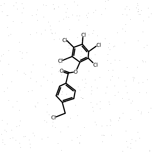 O=C(Oc1c(Cl)c(Cl)c(Cl)c(Cl)c1Cl)c1ccc(CCl)cc1